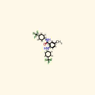 Cc1ccc(N[C@H]2CC[C@H](C(F)(F)F)CC2)c(C(=O)N[C@H]2CC[C@H](C(F)(F)F)CC2)c1